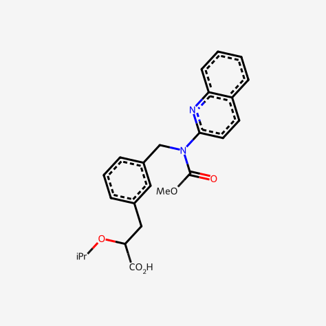 COC(=O)N(Cc1cccc(CC(OC(C)C)C(=O)O)c1)c1ccc2ccccc2n1